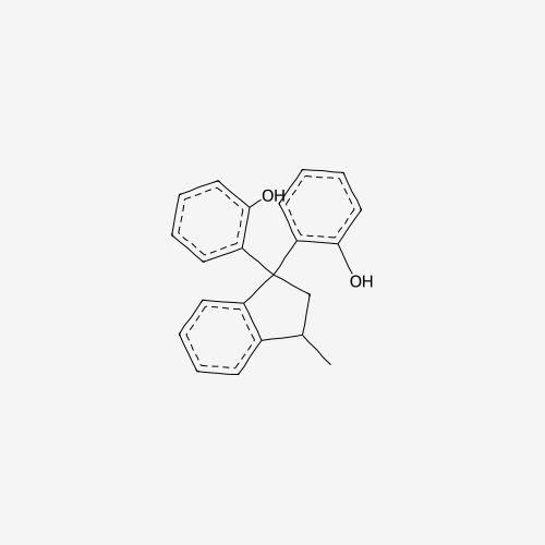 CC1CC(c2ccccc2O)(c2ccccc2O)c2ccccc21